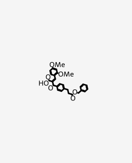 COc1cc(OC)c2c(c1)OC(O)C(C(=O)c1ccc(CCC(=O)OCc3ccccc3)cc1)=C2